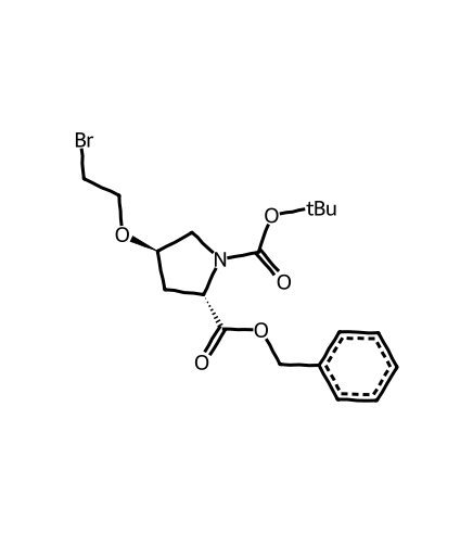 CC(C)(C)OC(=O)N1C[C@H](OCCBr)C[C@H]1C(=O)OCc1ccccc1